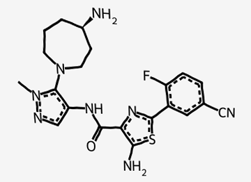 Cn1ncc(NC(=O)c2nc(-c3cc(C#N)ccc3F)sc2N)c1N1CCC[C@@H](N)CC1